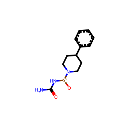 NC(=O)N[S+]([O-])N1CCC(c2ccccc2)CC1